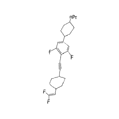 CCCC1CCC(c2cc(F)c(C#CC3CCC(C=C(F)F)CC3)c(F)c2)CC1